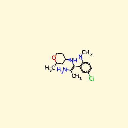 C=Nc1ccc(Cl)cc1/C(N[C@@H]1CCO[C@H](C)C1)=C(\C)N